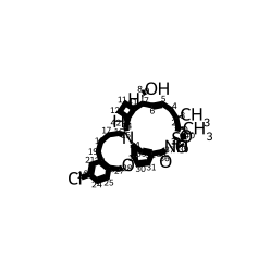 C[C@@H]1[C@@H](C)C/C=C/[C@@H](CO)[C@@H]2CC[C@H]2CN2CCCCc3cc(Cl)ccc3COc3ccc(cc32)C(=O)NS1(=O)=O